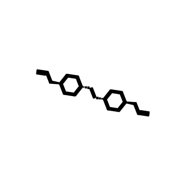 C=CC[C@H]1CC[C@H](CC[C@H]2CC[C@H](CC=C)CC2)CC1